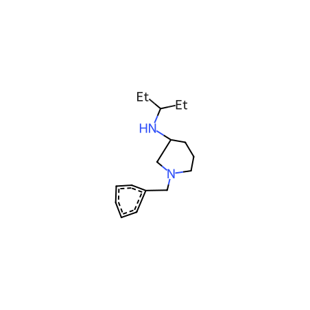 CCC(CC)NC1CCCN(Cc2ccccc2)C1